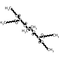 CCCCCCCCOC(=O)CCN(CCCCC(=O)OCCN1CC(C)N(CCOC(=O)CCCCN(CCC(=O)OCCCCCCCC)CCC(=O)OCCCCCCCC)CC1C)CCC(=O)OCCCCCCCC